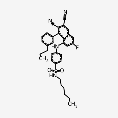 CCCCCCNS(=O)(=O)c1ccc(Nc2cc(F)cc3cc(C#N)c(C#N)c(-c4cccc(CCC)c4)c23)cc1